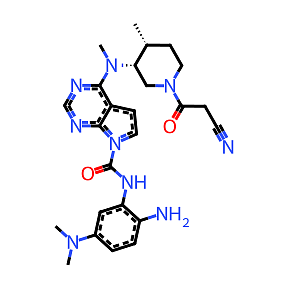 C[C@@H]1CCN(C(=O)CC#N)C[C@@H]1N(C)c1ncnc2c1ccn2C(=O)Nc1cc(N(C)C)ccc1N